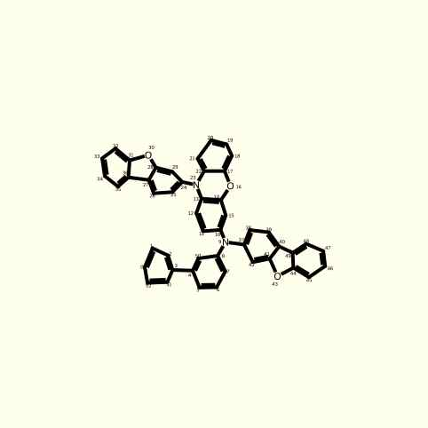 c1ccc(-c2cccc(N(c3ccc4c(c3)Oc3ccccc3N4c3ccc4c(c3)oc3ccccc34)c3ccc4c(c3)oc3ccccc34)c2)cc1